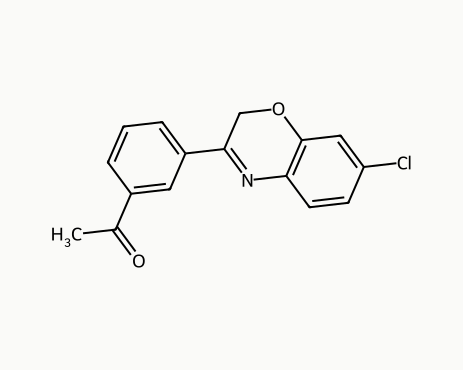 CC(=O)c1cccc(C2=Nc3ccc(Cl)cc3OC2)c1